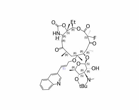 CC[C@H]1OC(=O)[C@@](C)(F)C(=O)[C@H](C)[C@@H](O[C@@H]2O[C@H](C)[C@@H](OC(C)(C)C)[C@H](N(C)C)[C@H]2O)[C@](C)(OC/C=C/c2cnc3ccccc3c2)C[C@@H](C)C(=O)[C@H](C)[C@H]2NC(=O)O[C@@]21C